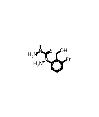 CCc1cccc(N(N)C(=S)N(C)N)c1CO